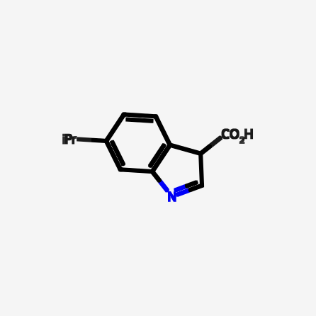 CC(C)c1ccc2c(c1)N=CC2C(=O)O